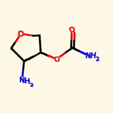 NC(=O)OC1COCC1N